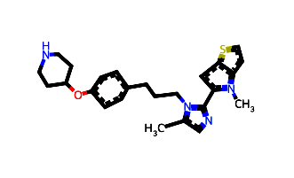 Cc1cnc(-c2cc3sccc3n2C)n1CCCc1ccc(OC2CCNCC2)cc1